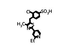 CCc1cc(-c2nc(C)c(Cc3ccc(S(=O)(=O)O)cc3Cl)s2)ccn1